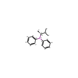 CC(C)[C@H](C)P(c1ccccc1)c1ccccc1